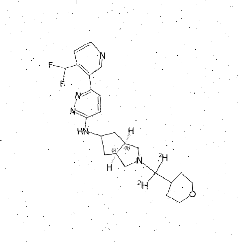 [2H]C([2H])(C1CCOCC1)N1C[C@H]2CC(Nc3ccc(-c4cnccc4C(F)F)nn3)C[C@H]2C1